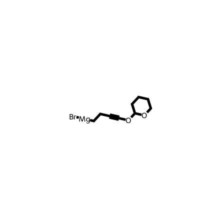 [Br][Mg][CH2]CC#COC1CCCCO1